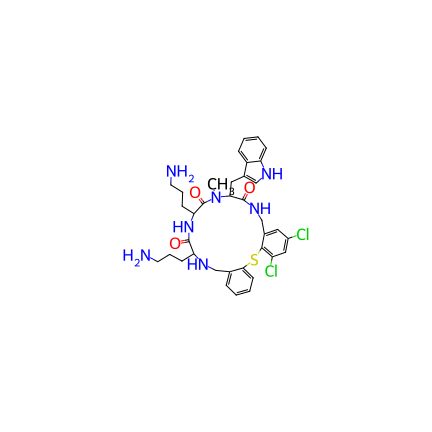 CN1C(=O)C(CCCN)NC(=O)C(CCCN)NCc2ccccc2Sc2c(Cl)cc(Cl)cc2CNC(=O)C1Cc1c[nH]c2ccccc12